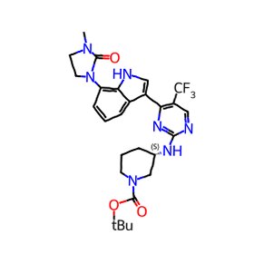 CN1CCN(c2cccc3c(-c4nc(N[C@H]5CCCN(C(=O)OC(C)(C)C)C5)ncc4C(F)(F)F)c[nH]c23)C1=O